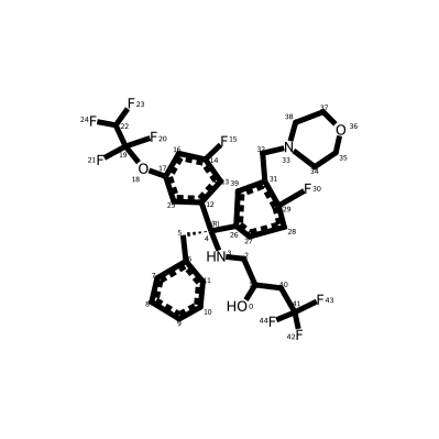 OC(CN[C@@](Cc1ccccc1)(c1cc(F)cc(OC(F)(F)C(F)F)c1)c1ccc(F)c(CN2CCOCC2)c1)CC(F)(F)F